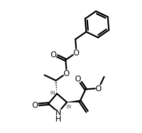 C=C(C(=O)OC)[C@H]1NC(=O)[C@@H]1C(C)OC(=O)OCc1ccccc1